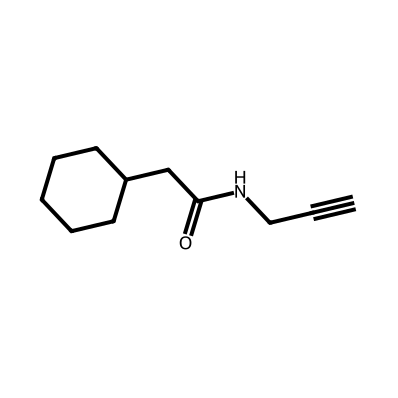 C#CCNC(=O)CC1CCCCC1